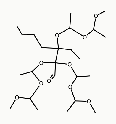 CCCCC(CC)(OC(C)OC(C)OC)C(C=O)(OC(C)OC(C)OC)OC(C)OC(C)OC